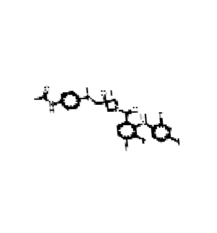 CC(=O)Nc1ccc(NCC2(O)CN(C(=O)c3ccc(F)c(F)c3Nc3ccc(I)cc3F)C2)cc1